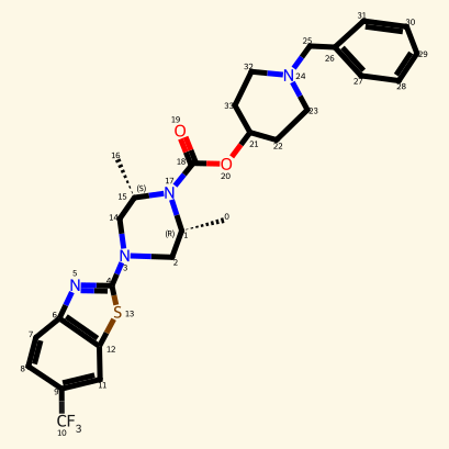 C[C@@H]1CN(c2nc3ccc(C(F)(F)F)cc3s2)C[C@H](C)N1C(=O)OC1CCN(Cc2ccccc2)CC1